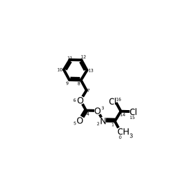 CC(=NOC(=O)OCc1ccccc1)C(Cl)Cl